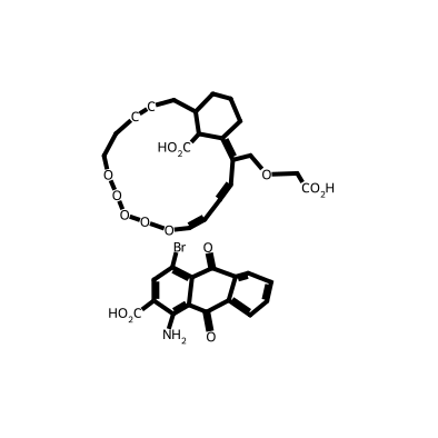 Nc1c(C(=O)O)cc(Br)c2c1C(=O)c1ccccc1C2=O.O=C(O)COCC1=C2CCCC(CCCCCOOOOOC=CC=C1)C2C(=O)O